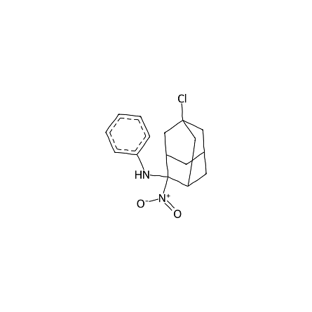 O=[N+]([O-])C1(Nc2ccccc2)C2CC3CC1CC(Cl)(C3)C2